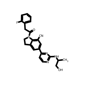 CC(CO)Nc1nccc(-c2cc(C#N)c3c(c2)CCN3C(=O)Cc2ccccc2F)n1